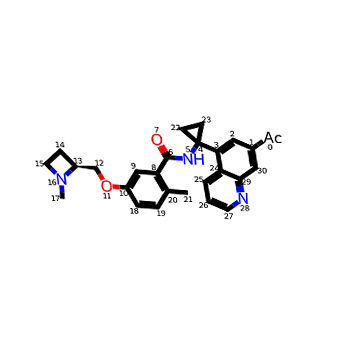 CC(=O)c1cc(C2(NC(=O)c3cc(OC[C@@H]4CCN4C)ccc3C)CC2)c2cccnc2c1